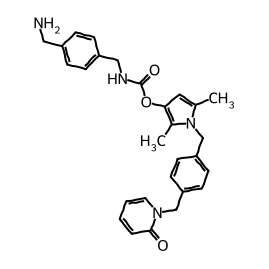 Cc1cc(OC(=O)NCc2ccc(CN)cc2)c(C)n1Cc1ccc(Cn2ccccc2=O)cc1